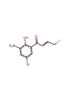 O=C(/C=C/CF)c1cc(Br)cc([N+](=O)[O-])c1O